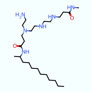 CCCCCCCCCCC(C)NC(=O)CCN(CCN)CCNCCNCCC(=O)NC